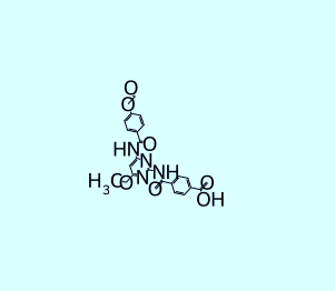 COc1cc(NC(=O)c2ccc(OC=O)cc2)nc(NC(=O)c2ccc(C(=O)O)cc2)n1